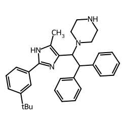 Cc1[nH]c(-c2cccc(C(C)(C)C)c2)nc1C(C(c1ccccc1)c1ccccc1)N1CCNCC1